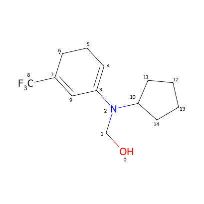 OCN(C1=CC[CH]C(C(F)(F)F)=C1)C1CCCC1